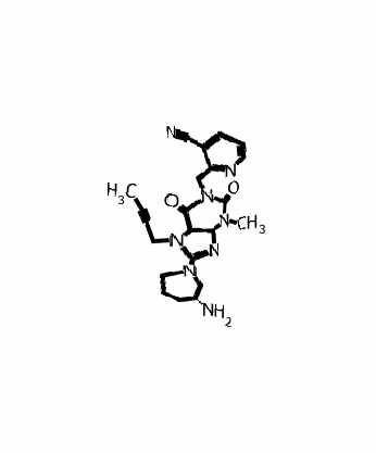 CC#CCN1C(N2CCC[C@@H](N)C2)=NC2C1C(=O)N(Cc1ncccc1C#N)C(=O)N2C